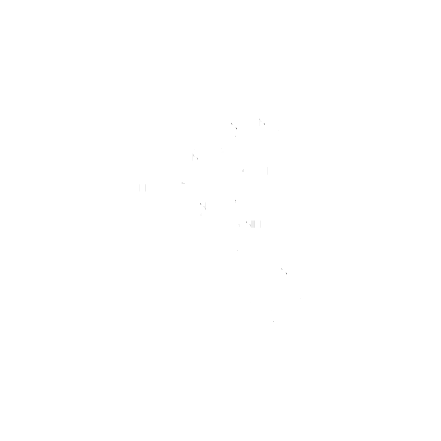 Cc1nc(NN)c(F)c(NCc2nccs2)n1